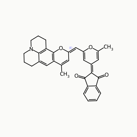 CC1=CC(=C2C(=O)c3ccccc3C2=O)C=C(/C=C2\C=C(C)c3cc4c5c(c3O2)CCCN5CCC4)O1